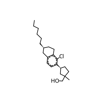 CCCCCC[C@H]1CCc2c(ccc([C@H]3CCC(C)(CO)C3)c2Cl)C1